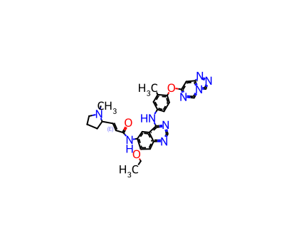 CCOc1cc2ncnc(Nc3ccc(Oc4cc5nncn5cn4)c(C)c3)c2cc1NC(=O)/C=C/C1CCCN1C